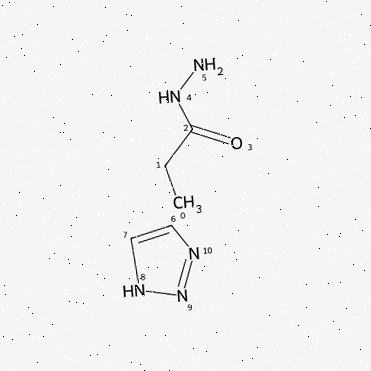 CCC(=O)NN.c1c[nH]nn1